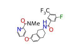 CNC(=O)c1cc(Oc2ccc3c(c2)CC(NC(=O)c2cc(F)cc(C(F)(F)F)c2)CC3)ccn1